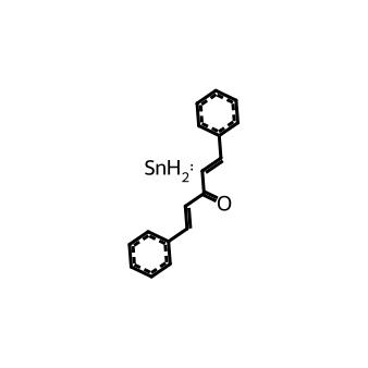 O=C(C=Cc1ccccc1)C=Cc1ccccc1.[SnH2]